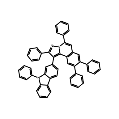 c1ccc(-c2cc3cc(-c4ccccc4)n4nc(-c5ccccc5)c(-c5ccc6c7ccccc7n(-c7ccccc7)c6c5)c4c3cc2-c2ccccc2)cc1